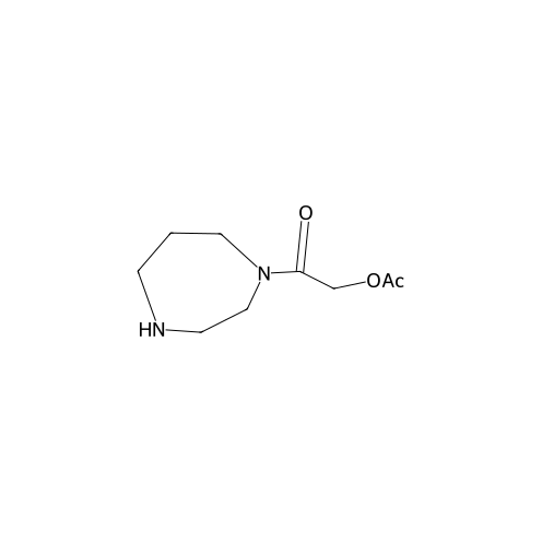 CC(=O)OCC(=O)N1CCCNCC1